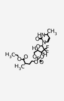 CCOC(=O)[C@H](C)CCOP1(=O)OC[C@H]2O[C@@H](N3C=CC(C)NC3=O)C(F)(F)[C@@H]2O1